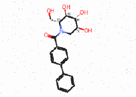 O=C(c1ccc(-c2ccccc2)cc1)N1C[C@H](O)[C@@H](O)[C@H](O)[C@H]1CO